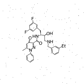 CCc1cccc(CNC[C@H](O)[C@H](Cc2cc(F)cc(F)c2)NC(=O)c2nn(-c3ccccc3)c(C)cc2=O)c1